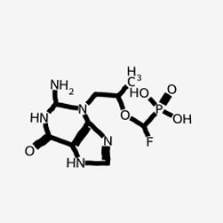 CC(CN1c2nc[nH]c2C(=O)NC1N)OC(F)P(=O)(O)O